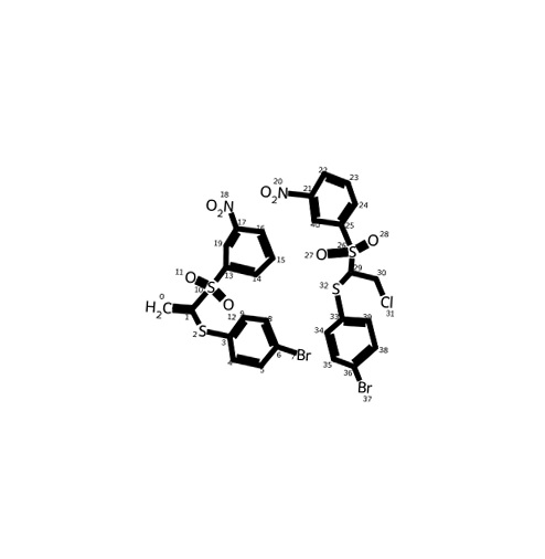 C=C(Sc1ccc(Br)cc1)S(=O)(=O)c1cccc([N+](=O)[O-])c1.O=[N+]([O-])c1cccc(S(=O)(=O)C(CCl)Sc2ccc(Br)cc2)c1